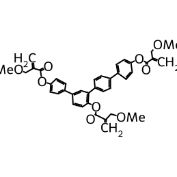 C=C(COC)C(=O)Oc1ccc(-c2ccc(-c3cc(-c4ccc(OC(=O)C(=C)COC)cc4)ccc3OC(=O)C(=C)COC)cc2)cc1